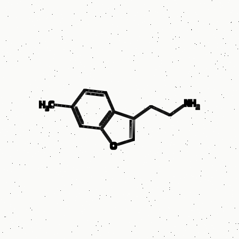 Cc1ccc2c(CCN)coc2c1